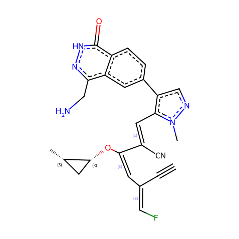 C#CC(=C\F)/C=C(O[C@@H]1C[C@@H]1C)\C(C#N)=C\c1c(-c2ccc3c(=O)[nH]nc(CN)c3c2)cnn1C